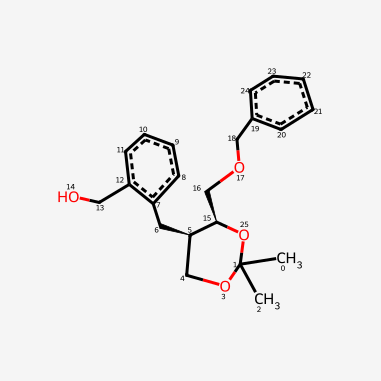 CC1(C)OC[C@@H](Cc2ccccc2CO)[C@@H](COCc2ccccc2)O1